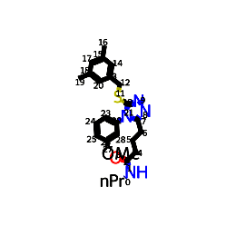 CCCNC(=O)CCCc1nnc(SCc2cc(C)cc(C)c2)n1-c1cccc(OC)c1